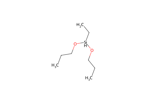 [CH2]C[SiH](OCCC)OCCC